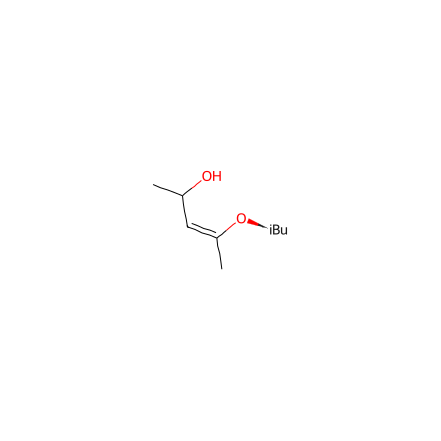 CC[C@H](C)O/C(C)=C\C(C)O